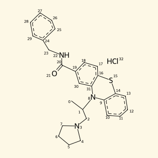 CC(CN1CCCC1)N1c2ccccc2Sc2ccc(C(=O)NCc3ccccc3)cc21.Cl